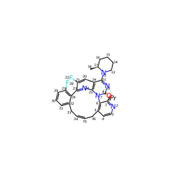 CC(C)c1nccc2c1-n1c(=O)nc(N3CCCC[C@@H]3C)c3cc(F)c(nc31)-c1c(F)cccc1C/C=C\C2